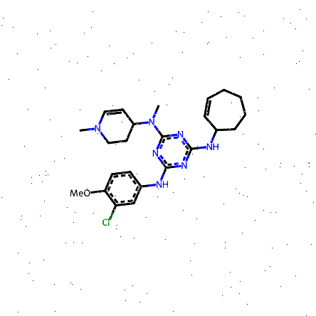 COc1ccc(Nc2nc(NC3C=CCCCC3)nc(N(C)C3C=CN(C)CC3)n2)cc1Cl